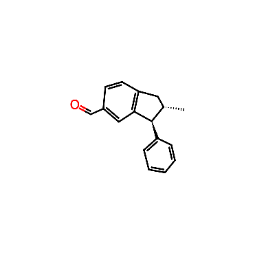 C[C@H]1Cc2ccc(C=O)cc2[C@@H]1c1ccccc1